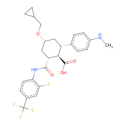 CNc1ccc([C@H]2C[C@@H](OCC3CC3)C[C@@H](C(=O)Nc3ccc(C(F)(F)F)cc3F)[C@@H]2C(=O)O)cc1